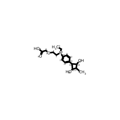 CCN(CCOCC(=O)O)c1ccc(C2C(O)C(C)C2O)cc1